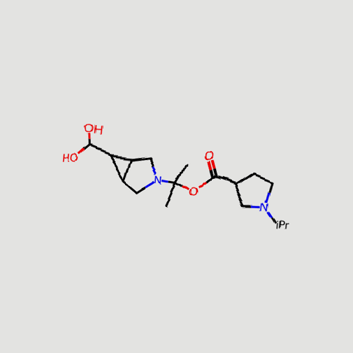 CC(C)N1CCC(C(=O)OC(C)(C)N2CC3C(C2)C3C(O)O)C1